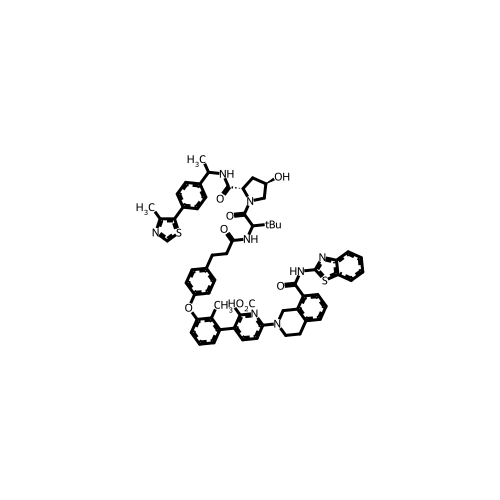 Cc1ncsc1-c1ccc(C(C)NC(=O)[C@@H]2C[C@@H](O)CN2C(=O)C(NC(=O)CCc2ccc(Oc3cccc(-c4ccc(N5CCc6cccc(C(=O)Nc7nc8ccccc8s7)c6C5)nc4C(=O)O)c3C)cc2)C(C)(C)C)cc1